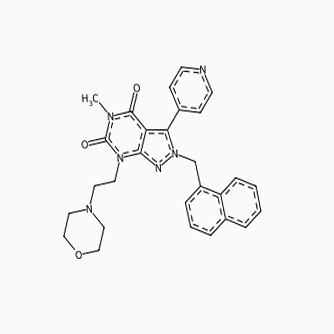 Cn1c(=O)c2c(-c3ccncc3)n(Cc3cccc4ccccc34)nc2n(CCN2CCOCC2)c1=O